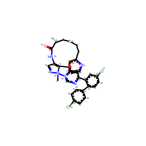 C[C@@H]1CCCCc2cc(ccn2)C2=C(C=N[N+]2(C)n2cnc(-c3cc(Cl)ccc3-c3ccc(Cl)cc3)cc2=O)NC1=O